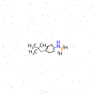 [2H]P([3H])Nc1ccc(CC(C)(C)C)cc1